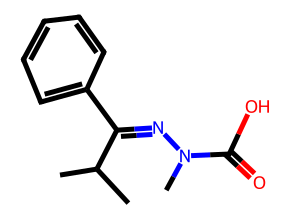 CC(C)C(=NN(C)C(=O)O)c1ccccc1